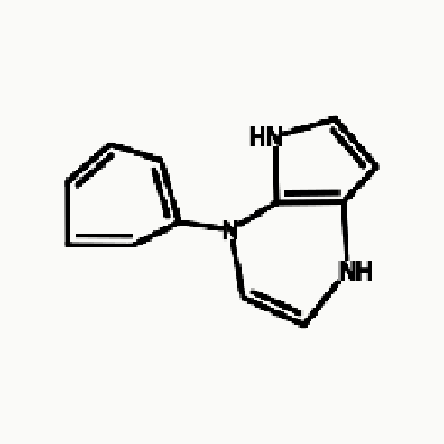 C1=CN(c2ccccc2)c2[nH]ccc2N1